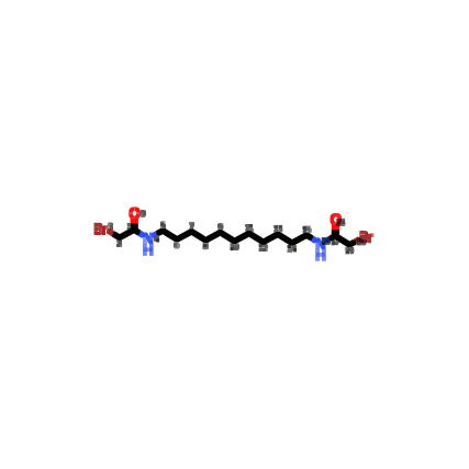 O=C(CBr)NCCCCCCCCCCCNC(=O)CBr